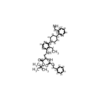 CCc1c(NCC(NC(=O)OCc2ccccc2)C(=O)OC(C)(C)C)ncnc1N1CCC(c2ncccc2CN)CC1